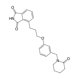 O=C1NC(=O)c2c(CCCOc3cccc(CN4CCCCC4=O)c3)cccc21